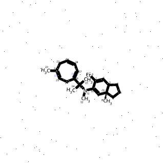 CCC1=CC2CCC[C@]2(C)C=C1N(C)C(C)(C)/C1=C/C=CC/C(C)=C\C1